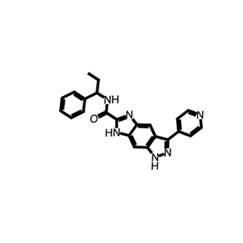 CCC(NC(=O)c1nc2cc3c(-c4ccncc4)n[nH]c3cc2[nH]1)c1ccccc1